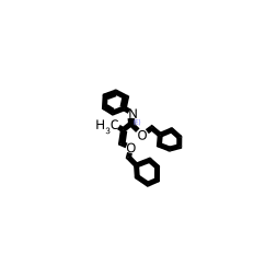 CC(=COCC1CCCCC1)/C(=N\c1ccccc1)OCC1CCCCC1